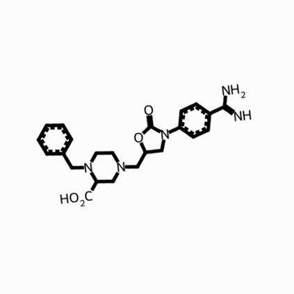 N=C(N)c1ccc(N2CC(CN3CCN(Cc4ccccc4)C(C(=O)O)C3)OC2=O)cc1